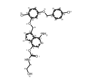 Nc1ncc(OC(=O)NCCO)c2scc(COc3cc(OCc4ccc(Cl)cc4)ccc3Cl)c12